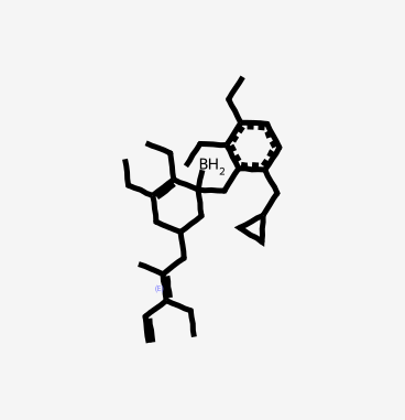 BC1(Cc2c(CC3CC3)ccc(CC)c2CC)CC(C/C(C)=C(/C=C)CC)CC(CC)=C1CC